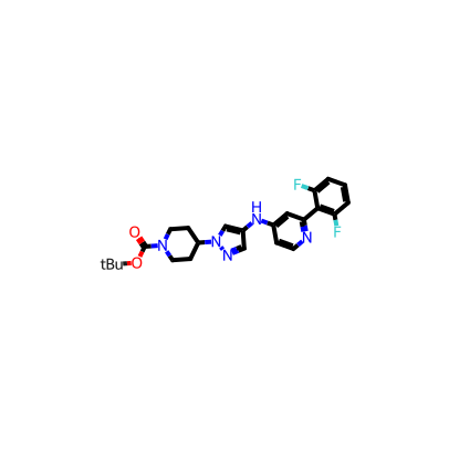 CC(C)(C)OC(=O)N1CCC(n2cc(Nc3ccnc(-c4c(F)cccc4F)c3)cn2)CC1